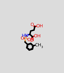 Cc1cccc(CP(=O)(O)NC(CCC(=O)O)C(=O)O)c1